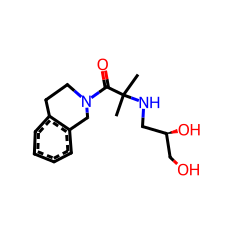 CC(C)(NC[C@@H](O)CO)C(=O)N1CCc2ccccc2C1